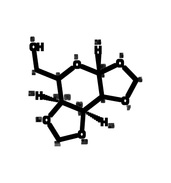 OCC1O[C@@H]2OCOC2[C@H]2OCO[C@@H]12